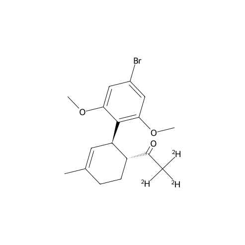 [2H]C([2H])([2H])C(=O)[C@@H]1CCC(C)=C[C@H]1c1c(OC)cc(Br)cc1OC